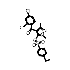 CCc1ccc(S(=O)(=O)Oc2c(C(=O)c3ccc(Cl)cc3Cl)c(C)nn2C)cc1